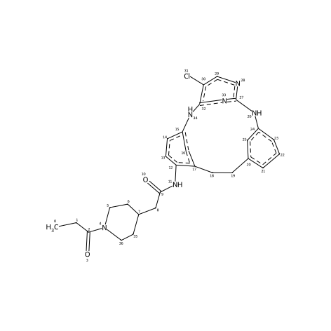 CCC(=O)N1CCC(CC(=O)Nc2ccc3cc2CCc2cccc(c2)Nc2ncc(Cl)c(n2)N3)CC1